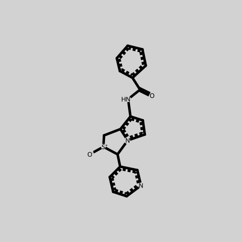 O=C(Nc1ccn2c1C[S+]([O-])C2c1cccnc1)c1ccccc1